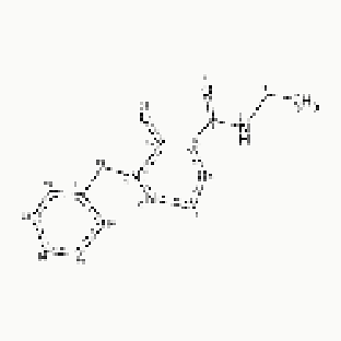 CCNC(=O)c1ccnn(Cc2ccccc2)c1=O